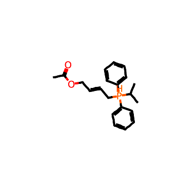 CC(=O)OCC=CC[PH](c1ccccc1)(c1ccccc1)C(C)C